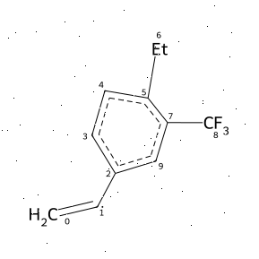 C=[C]c1ccc(CC)c(C(F)(F)F)c1